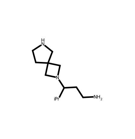 CC(C)C(CCN)N1CC2(CCNC2)C1